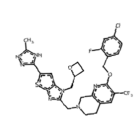 Cc1nnc(-c2cc3c(nc(CN4CCc5cc(C(F)(F)F)c(OCc6ccc(Cl)cc6F)nc5C4)n3C[C@@H]3CCO3)s2)[nH]1